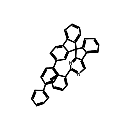 c1ccc(-c2ccc(-c3ccc4c(c3)C3(c5ccccc5-4)c4ccccc4-c4cnc(-c5ccccc5)nc43)cc2)cc1